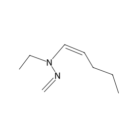 C=NN(/C=C\CCC)CC